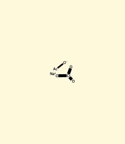 CC(=O)[O-].[Na+].[O]=[Cr](=[O])=[O]